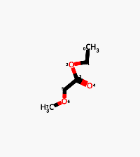 C[CH]OC(=O)COC